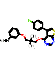 CC(=O)Nc1cccc(OCC(C)(C)COc2ncnc3scc(-c4ccc(F)cc4)c23)c1